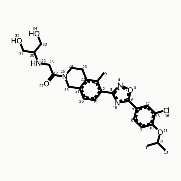 Cc1c(-c2noc(-c3ccc(OC(C)C)c(Cl)c3)n2)ccc2c1CCN(C(=O)CNC(CO)CO)C2